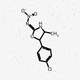 CC1N/C(=N\[N+](=O)[O-])OC1c1ccc(Cl)cc1